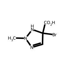 CN1N=CC(Br)(C(=O)O)N1